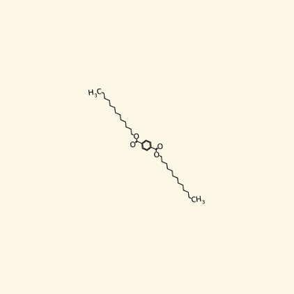 CCCCCCCCCCCCCOC(=O)c1ccc(C(=O)OCCCCCCCCCCCCC)cc1